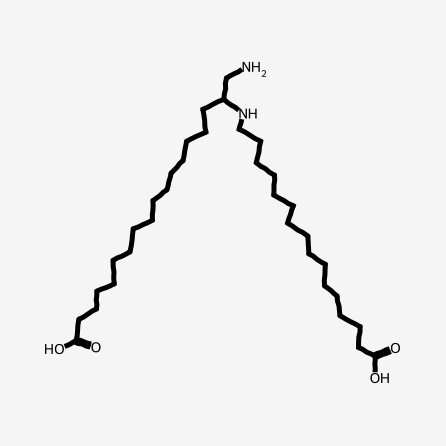 NCC(CCCCCCCCCCCCCCCC(=O)O)NCCCCCCCCCCCCCCCC(=O)O